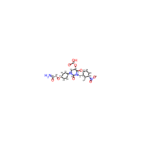 Cc1c(Cn2c(=O)c(OC(=O)O)cn(-c3ccc(OCC(N)=O)cc3)c2=O)cccc1[N+](=O)[O-]